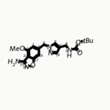 COc1cc(Cn2cc(CNC(=O)OC(C)(C)C)cn2)cc2onc(N)c12